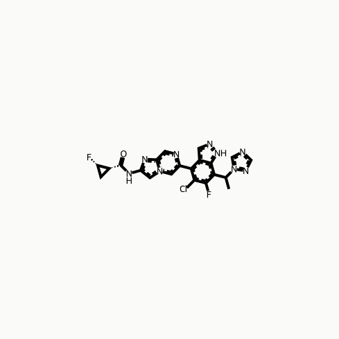 CC(c1c(F)c(Cl)c(-c2cn3cc(NC(=O)[C@@H]4C[C@@H]4F)nc3cn2)c2cn[nH]c12)n1cncn1